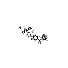 CC(=O)N(C)C1CCN(c2ccc(C(=O)N3CC4CCC(CC4)C3)cc2)C1